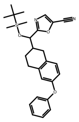 CC(C)(C)[Si](C)(C)OC(c1ncc(C#N)o1)C1CCc2cc(Oc3ccccc3)ccc2C1